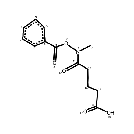 CN(OC(=O)c1ccccc1)C(=O)CCCC(=O)O